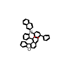 c1ccc(-c2ccc(N(c3ccc4ccccc4c3)c3ccccc3-c3cccc4ccc5oc6ccccc6c5c34)cc2)cc1